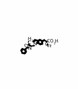 CCO[C@@H](Cc1ccc2c(ccn2Cc2nc(-c3ccccc3)oc2C)c1)C(=O)O